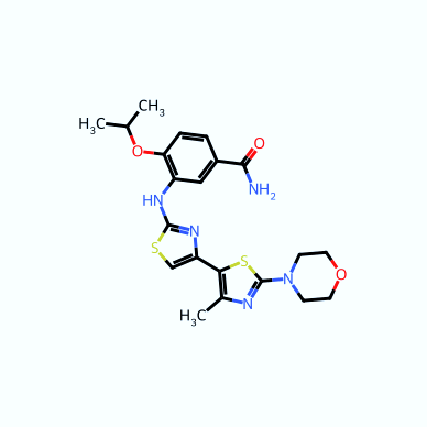 Cc1nc(N2CCOCC2)sc1-c1csc(Nc2cc(C(N)=O)ccc2OC(C)C)n1